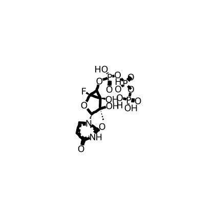 C[C@]1(O)[C@H](n2ccc(=O)[nH]c2=O)O[C@]2(F)C(OP(=O)(O)OP(=O)(O)OP(=O)(O)O)[C@]12O